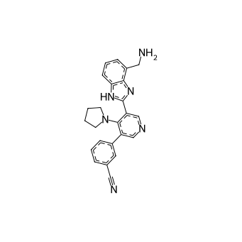 N#Cc1cccc(-c2cncc(-c3nc4c(CN)cccc4[nH]3)c2N2CCCC2)c1